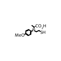 COc1ccc(N(CCS)[C@@H](C)C(=O)O)cc1